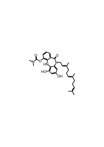 CC(C)=CCC/C(C)=C/CC/C(C)=C/CN1C(=O)c2cccc(OC(=O)N(C)C)c2Nc2c(O)cc(O)cc21